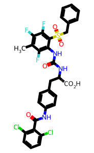 Cc1c(F)c(F)c(S(=O)(=O)Cc2ccccc2)c(NC(=O)NC(Cc2ccc(NC(=O)c3c(Cl)cccc3Cl)cc2)C(=O)O)c1F